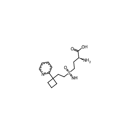 N=S(=O)(CC[C@H](N)C(=O)O)CCC1(c2ccccn2)CCC1